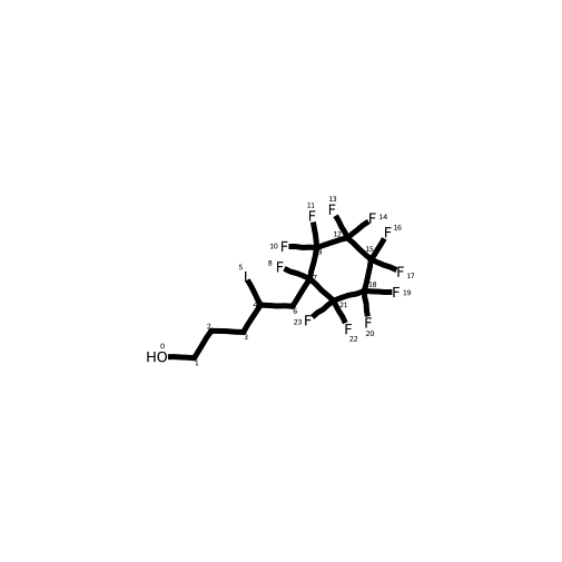 OCCCC(I)CC1(F)C(F)(F)C(F)(F)C(F)(F)C(F)(F)C1(F)F